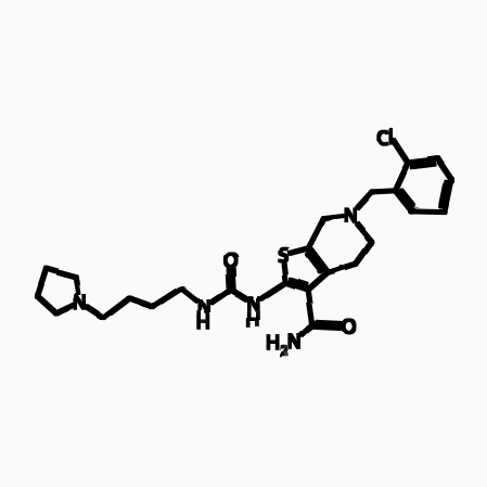 NC(=O)c1c(NC(=O)NCCCCN2CCCC2)sc2c1CCN(Cc1ccccc1Cl)C2